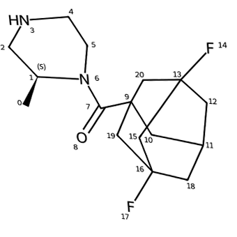 C[C@H]1CNCCN1C(=O)C12CC3CC(F)(CC(F)(C3)C1)C2